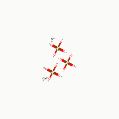 O=S(=O)([O-])[O-].O=S(=O)([O-])[O-].O=S(=O)([O-])[O-].[Ca+2].[Si+4]